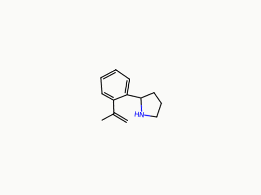 C=C(C)c1ccccc1C1CCCN1